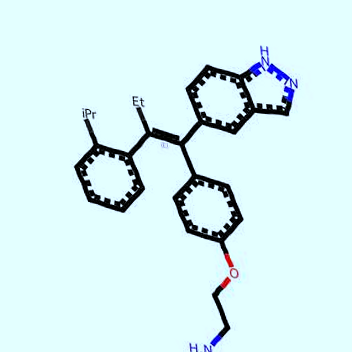 CC/C(=C(/c1ccc(OCCN)cc1)c1ccc2[nH]ncc2c1)c1ccccc1C(C)C